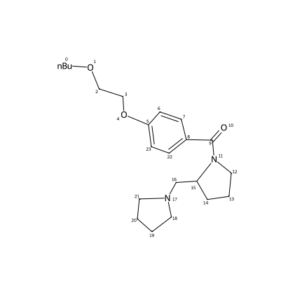 CCCCOCCOc1ccc(C(=O)N2CCCC2CN2CCCC2)cc1